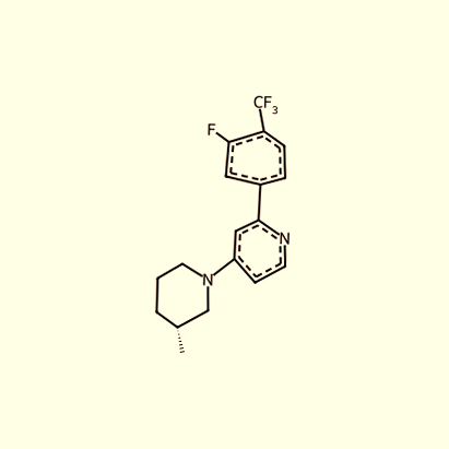 C[C@@H]1CCCN(c2ccnc(-c3ccc(C(F)(F)F)c(F)c3)c2)C1